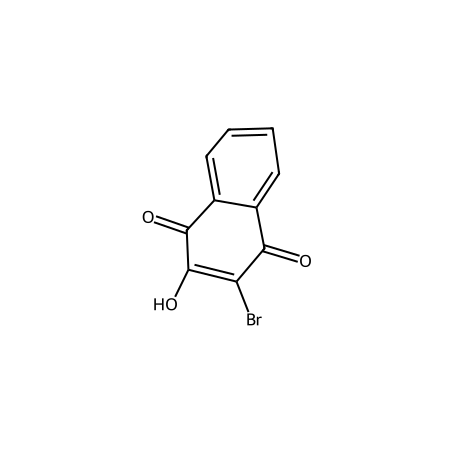 O=C1C(O)=C(Br)C(=O)c2ccccc21